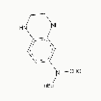 CCCCN(C=O)c1ccc2c(c1)NCCN2